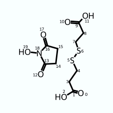 O=C(O)CCSSCCC(=O)O.O=C1CCC(=O)N1O